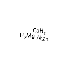 [Al].[CaH2].[MgH2].[Zn]